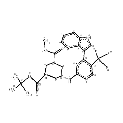 COC(=O)[C@@H]1C[C@H](Nc2ncc(C(F)(F)F)c(-c3c[nH]c4ccccc34)n2)CN(C(=O)OC(C)(C)C)C1